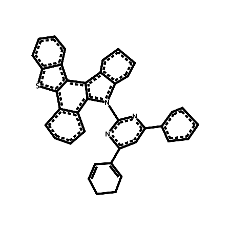 C1=CC(c2cc(-c3ccccc3)nc(-n3c4ccccc4c4c5c6ccccc6sc5c5ccccc5c43)n2)=CCC1